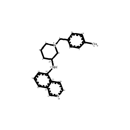 Cc1ccc(CN2CCCC(Nc3cccc4cnccc34)C2)cc1